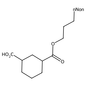 CCCCCCCCCCCCOC(=O)C1CCCC(C(=O)O)C1